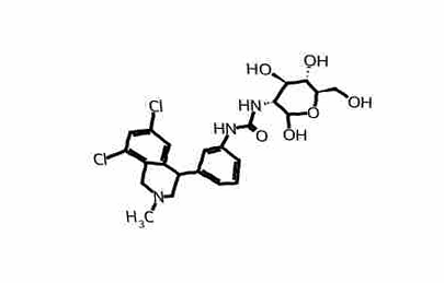 CN1Cc2c(Cl)cc(Cl)cc2C(c2cccc(NC(=O)N[C@H]3C(O)O[C@H](CO)[C@@H](O)[C@@H]3O)c2)C1